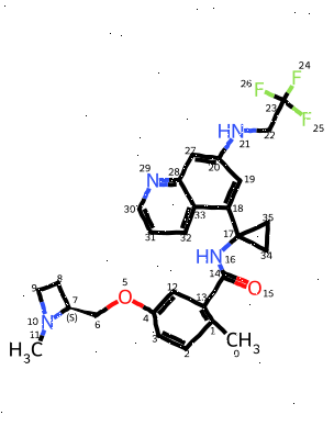 Cc1ccc(OC[C@@H]2CCN2C)cc1C(=O)NC1(c2cc(NCC(F)(F)F)cc3ncccc23)CC1